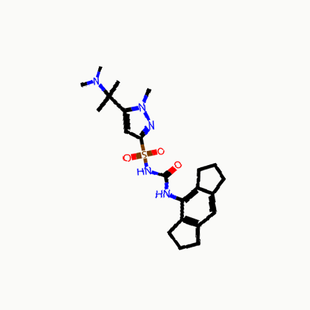 CN(C)C(C)(C)c1cc(S(=O)(=O)NC(=O)Nc2c3c(cc4c2CCC4)CCC3)nn1C